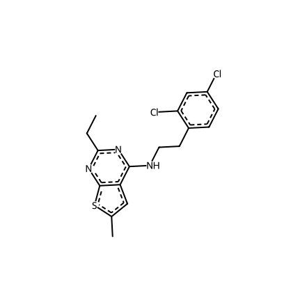 CCc1nc(NCCc2ccc(Cl)cc2Cl)c2cc(C)sc2n1